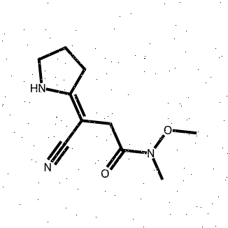 CON(C)C(=O)C/C(C#N)=C1\CCCN1